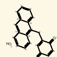 Cl.O=C1C=CC(=O)C(Cc2c3ccccc3cc3ccccc23)=C1